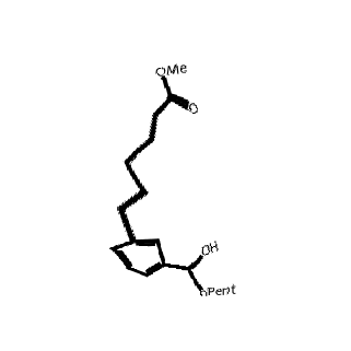 CCCCCC(O)c1cccc(CCCCCC(=O)OC)c1